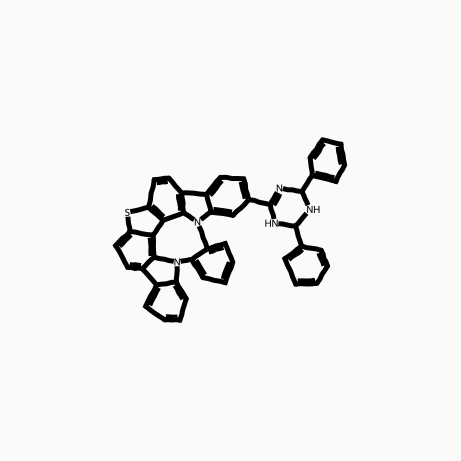 c1ccc(C2N=C(c3ccc4c5ccc6sc7ccc8c9ccccc9n9c%10ccccc%10n(c4c3)c5c6c7c89)NC(c3ccccc3)N2)cc1